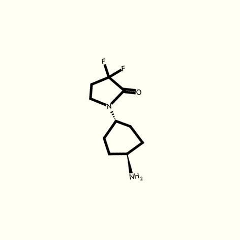 N[C@H]1CC[C@H](N2CCC(F)(F)C2=O)CC1